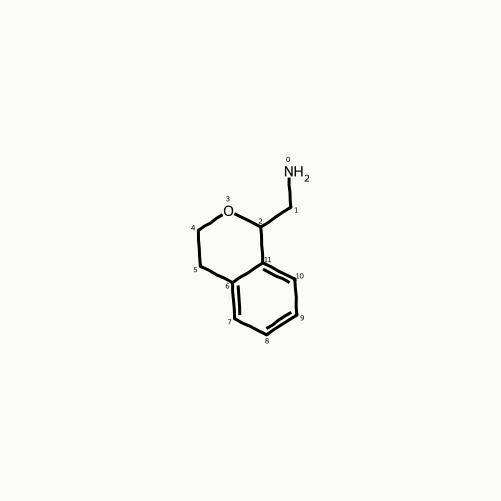 NCC1OCCc2ccccc21